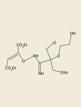 CCOC(=O)C=C(ONC(=N)C(CCl)(COC(C)=O)OCCO)C(=O)OCC